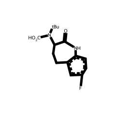 CC(C)(C)N(C(=O)O)C1CCc2cc(F)ccc2NC1=O